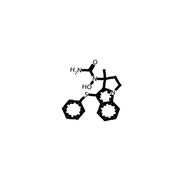 CC1(N(O)C(N)=O)CCn2c1c(Sc1ccccc1)c1ccccc12